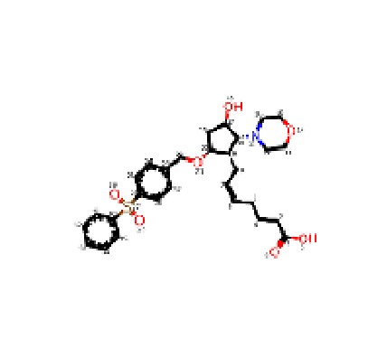 O=C(O)CCC/C=C\C[C@@H]1[C@@H](N2CCOCC2)[C@H](O)C[C@@H]1OCc1ccc(S(=O)(=O)c2ccccc2)cc1